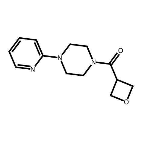 O=C(C1COC1)N1CCN(c2c[c]ccn2)CC1